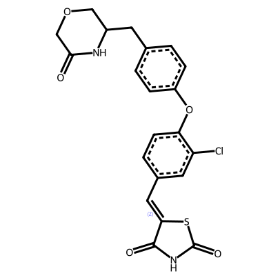 O=C1COCC(Cc2ccc(Oc3ccc(/C=C4\SC(=O)NC4=O)cc3Cl)cc2)N1